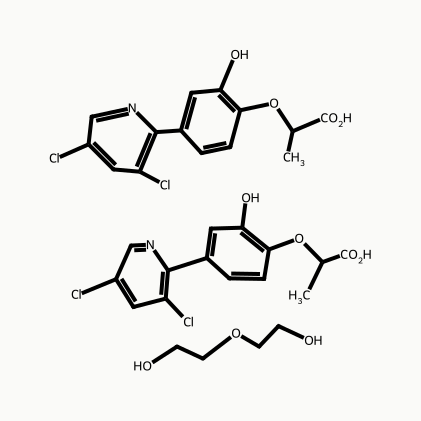 CC(Oc1ccc(-c2ncc(Cl)cc2Cl)cc1O)C(=O)O.CC(Oc1ccc(-c2ncc(Cl)cc2Cl)cc1O)C(=O)O.OCCOCCO